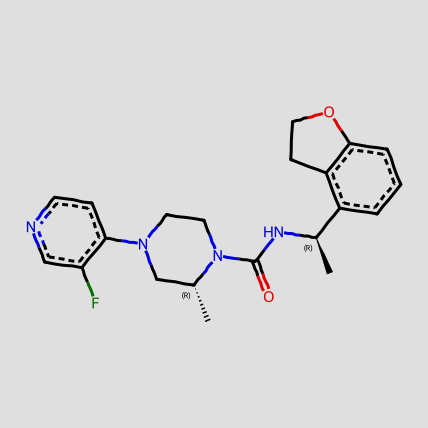 C[C@@H]1CN(c2ccncc2F)CCN1C(=O)N[C@H](C)c1cccc2c1CCO2